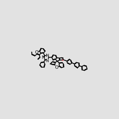 C=Cc1c(/C=C\C)oc2cccc(-c3nc(-c4ccccc4)nc(-c4ccc5c(c4)C4(c6ccccc6Oc6ccccc64)c4cc(-c6ccc(-c7ccc(-c8ccccc8)cc7)cc6)ccc4-5)n3)c12